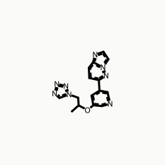 CC(Cn1cnnn1)Oc1cncc(-c2ccc3nccn3n2)c1